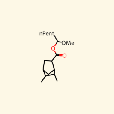 CCCCCC(OC)OC(=O)C1CC2CC1C(C)C2C